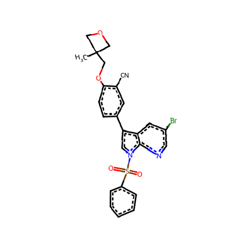 CC1(COc2ccc(-c3cn(S(=O)(=O)c4ccccc4)c4ncc(Br)cc34)cc2C#N)COC1